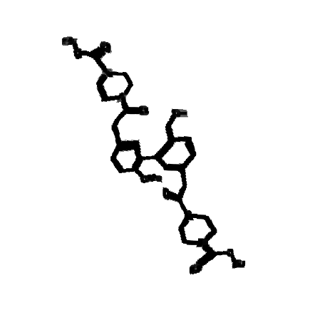 COc1ccc(CC(=O)N2CCN(C(=O)OC(C)(C)C)CC2)cc1-c1cc(CC(=O)N2CCN(C(=O)OC(C)(C)C)CC2)ccc1CO